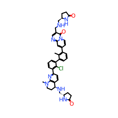 Cc1c(-c2ccn3c(=O)c(CNC[C@H]4CCC(=O)N4)cnc3c2)cccc1-c1cccc(-c2ccc3c(n2)N(C)CC[C@@H]3NC[C@@H]2CCC(=O)N2)c1Cl